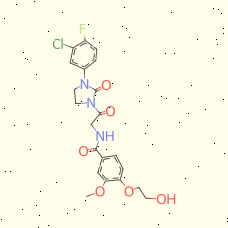 COc1cc(C(=O)NCC(=O)N2CCN(c3ccc(F)c(Cl)c3)C2=O)ccc1OCCO